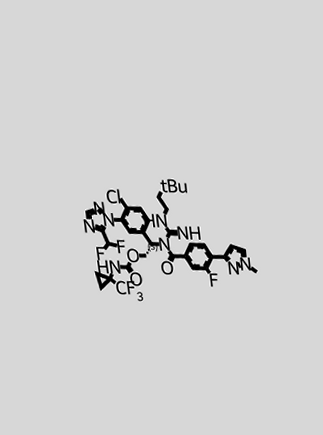 Cn1ccc(-c2ccc(C(=O)N(C(=N)NCCC(C)(C)C)[C@H](COC(=O)NC3(C(F)(F)F)CC3)c3ccc(Cl)c(-n4ncnc4C(F)F)c3)cc2F)n1